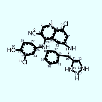 N#Cc1cnc2c(Cl)cc(N[C@H](C3=CNNN3)c3ccccc3)cc2c1Nc1ccc(O)c(Cl)c1